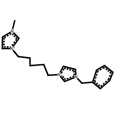 Cn1cc[n+](CCCCC[n+]2ccn(Cc3ccccc3)c2)c1